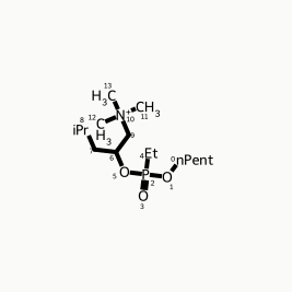 CCCCCOP(=O)(CC)OC(CC(C)C)C[N+](C)(C)C